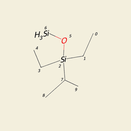 CC[Si](CC)(O[SiH3])C(C)C